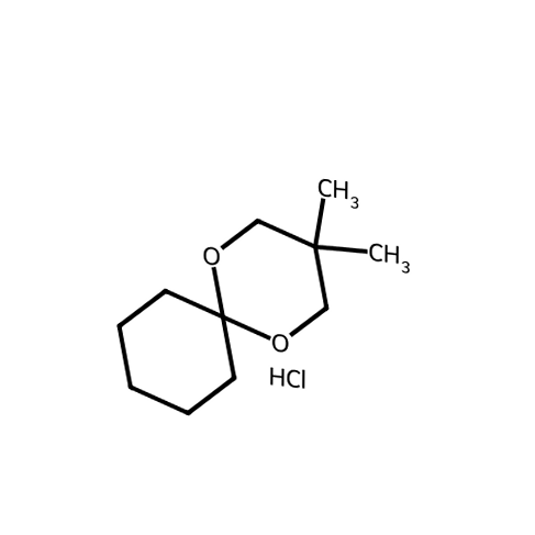 CC1(C)COC2(CCCCC2)OC1.Cl